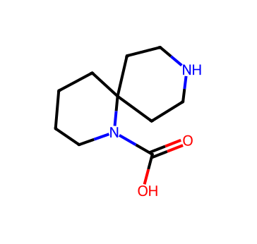 O=C(O)N1CCCCC12CCNCC2